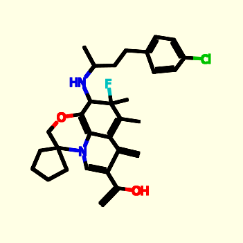 C=C(O)C1=CN2C3=C(OCC24CCCC4)C(NC(C)CCc2ccc(Cl)cc2)C(C)(F)C(C)=C3C1=C